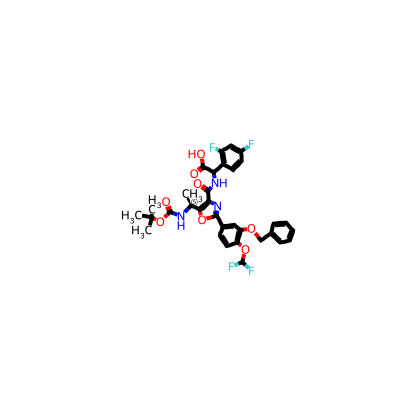 C[C@H](NC(=O)OC(C)(C)C)c1oc(-c2ccc(OC(F)F)c(OCc3ccccc3)c2)nc1C(=O)NC(C(=O)O)c1ccc(F)cc1F